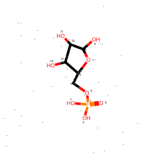 O=P(O)(O)OCC1OC(O)C(O)C1O